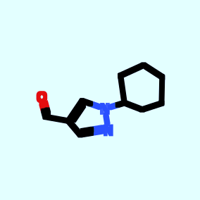 O=Cc1cnn(C2CCCCC2)c1